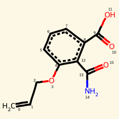 C=CCOc1cccc(C(=O)O)c1C(N)=O